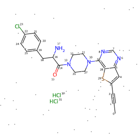 CC#Cc1cc2ncnc(N3CCN(C(=O)C(N)Cc4ccc(Cl)cc4)CC3)c2s1.Cl.Cl